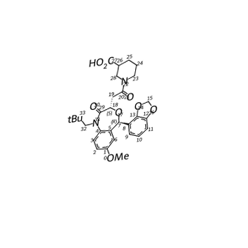 COc1ccc2c(c1)[C@H](c1cccc3c1OCO3)O[C@@H](CC(=O)N1CCCC(C(=O)O)C1)C(=O)N2CC(C)(C)C